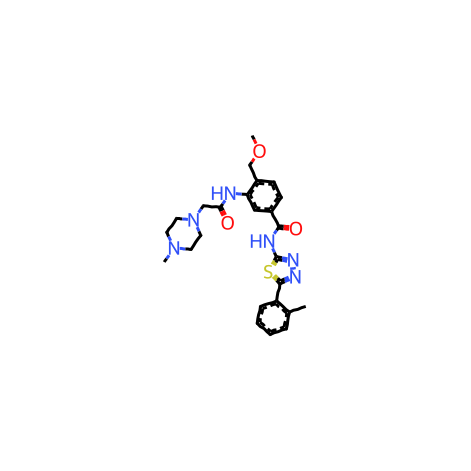 COCc1ccc(C(=O)Nc2nnc(-c3ccccc3C)s2)cc1NC(=O)CN1CCN(C)CC1